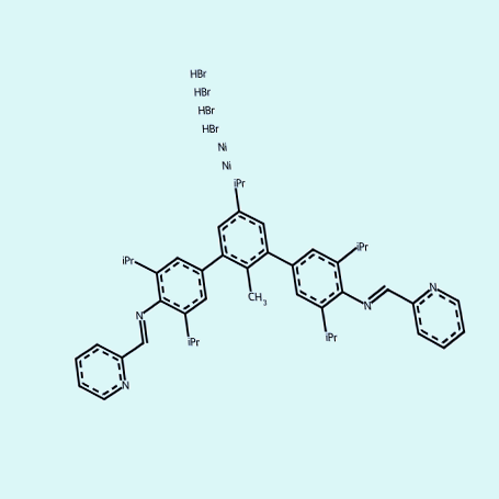 Br.Br.Br.Br.Cc1c(-c2cc(C(C)C)c(N=Cc3ccccn3)c(C(C)C)c2)cc(C(C)C)cc1-c1cc(C(C)C)c(N=Cc2ccccn2)c(C(C)C)c1.[Ni].[Ni]